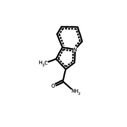 Cc1c(C(N)=O)cn2ccccc12